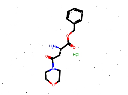 Cl.N[C@H](CC(=O)N1CCOCC1)C(=O)OCc1ccccc1